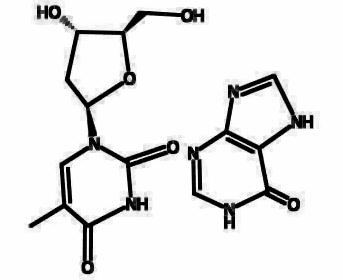 Cc1cn([C@H]2C[C@H](O)[C@@H](CO)O2)c(=O)[nH]c1=O.O=c1[nH]cnc2nc[nH]c12